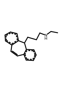 CCNCCCC1c2ccccc2C=Cc2ccccc21